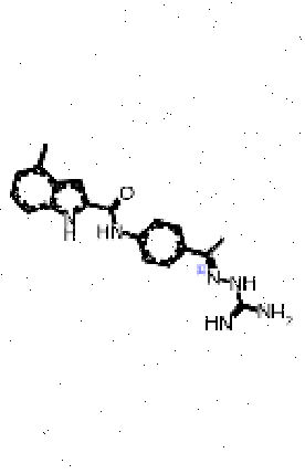 C/C(=N\NC(=N)N)c1ccc(NC(=O)c2cc3c(C)cccc3[nH]2)cc1